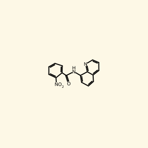 O=C(Nc1cccc2cccnc12)c1ccccc1[N+](=O)[O-]